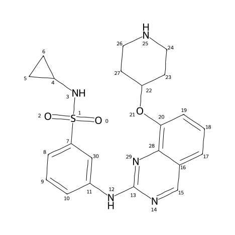 O=S(=O)(NC1CC1)c1cccc(Nc2ncc3cccc(OC4CCNCC4)c3n2)c1